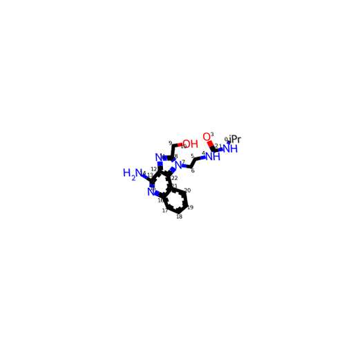 CC(C)NC(=O)NCCn1c(CO)nc2c(N)nc3ccccc3c21